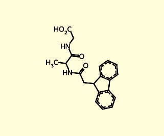 CC(NC(=O)CC1c2ccccc2-c2ccccc21)C(=O)NCC(=O)O